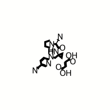 N#Cc1ccc(NCC2(NC(=O)[C@H](C#N)N3CCCC3)CC2)nc1.O=C(O)C=CC(=O)O